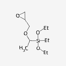 CCO[Si](CC)(OCC)C(C)OCC1CO1